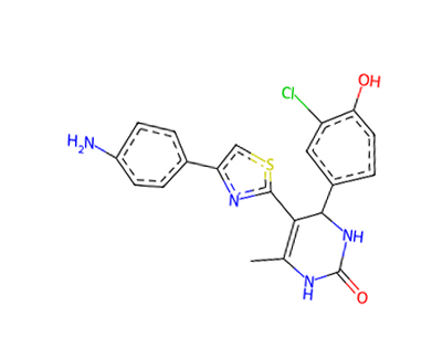 CC1=C(c2nc(-c3ccc(N)cc3)cs2)C(c2ccc(O)c(Cl)c2)NC(=O)N1